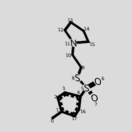 Cc1ccc(S(=O)(=O)SCCN2CCCC2)cc1